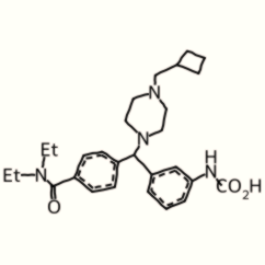 CCN(CC)C(=O)c1ccc(C(c2cccc(NC(=O)O)c2)N2CCN(CC3CCC3)CC2)cc1